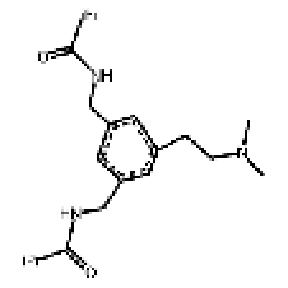 CC(C)C(=O)NCc1cc(CCN(C)C)cc(CNC(=O)C(C)C)c1